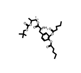 CCCCC(=O)Oc1ccc(C[C@H](N)C(=O)O[C@@H](C)C(C)OC(=O)OCC(C)(C)C)cc1OC(=O)CCCC